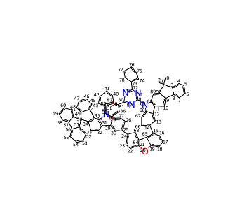 CC1(C)c2ccccc2-c2cc3c4cc(-c5cccc6oc7ccc(-c8ccc9c(c8)c8ccc%10c(c8n9-c8ccccc8)-c8ccccc8C%108c9ccccc9-c9ccccc98)cc7c56)ccc4n(-c4nc(-c5ccccc5)nc(-c5ccccc5)n4)c3cc21